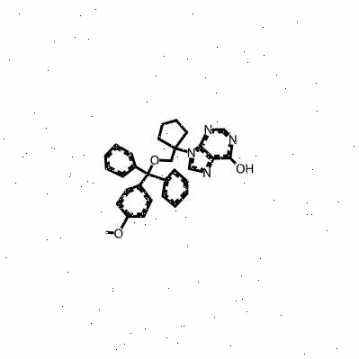 COc1ccc(C(OCC2(n3cnc4c(O)ncnc43)CCCC2)(c2ccccc2)c2ccccc2)cc1